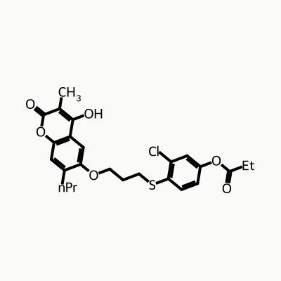 CCCc1cc2oc(=O)c(C)c(O)c2cc1OCCCSc1ccc(OC(=O)CC)cc1Cl